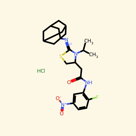 CC(C)N1/C(=N/C23CC4CC(CC(C4)C2)C3)SCC1CC(=O)Nc1cc([N+](=O)[O-])ccc1F.Cl